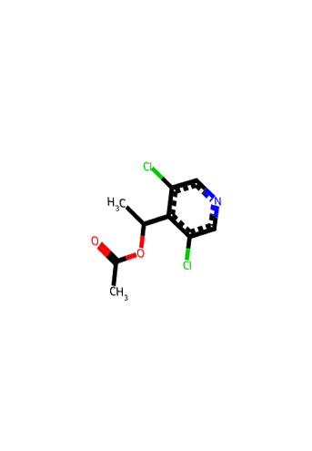 CC(=O)OC(C)c1c(Cl)cncc1Cl